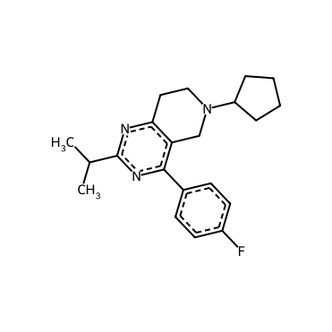 CC(C)c1nc2c(c(-c3ccc(F)cc3)n1)CN(C1CCCC1)CC2